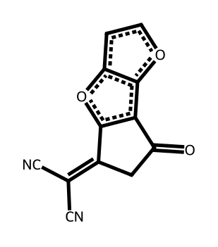 N#CC(C#N)=C1CC(=O)c2c1oc1ccoc21